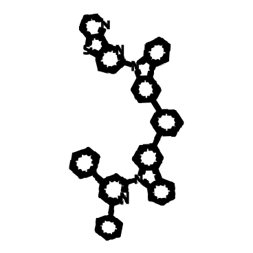 c1ccc(-c2cc(-c3ccccc3)nc(-n3c4ccccc4c4cc(-c5cccc(-c6ccc7c(c6)c6ccccc6n7-c6ccc7sc8cccnc8c7n6)c5)ccc43)c2)cc1